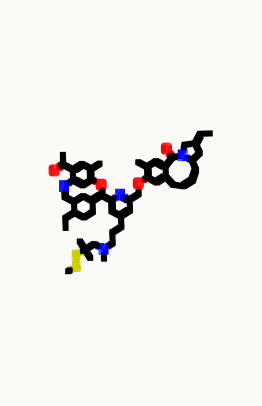 C/C=C1/CCC(CC)C(/C=N\c2cc(OCc3cc(CCCN(C)CC(C)(C)SSC)cc(COc4cc5c(cc4C)C(=O)N4C/C(=C/C)CC4C=C=CC5)n3)c(C)cc2C(C)=O)C1